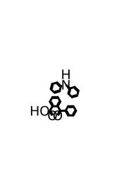 O=C(O)c1ccccc1C(=O)c1ccccc1.c1ccc(Nc2ccccc2)cc1